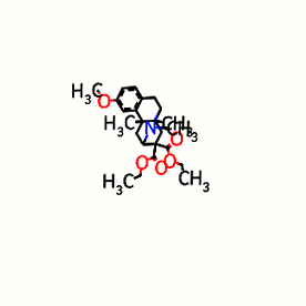 CCOC(=O)C1(C(=O)OCC)CC2(C)C3Cc4ccc(OC)cc4C2(C)CC1N3C